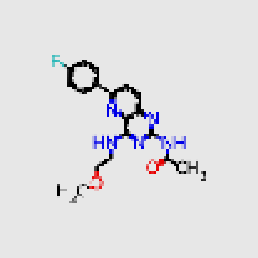 COCCNc1nc(NC(C)=O)nc2ccc(-c3ccc(F)cc3)nc12